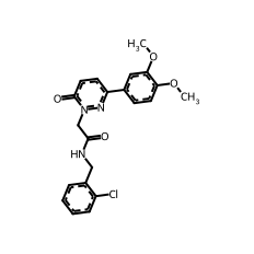 COc1ccc(-c2ccc(=O)n(CC(=O)NCc3ccccc3Cl)n2)cc1OC